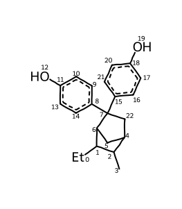 CCC1C(C)C2CC1C(c1ccc(O)cc1)(c1ccc(O)cc1)C2